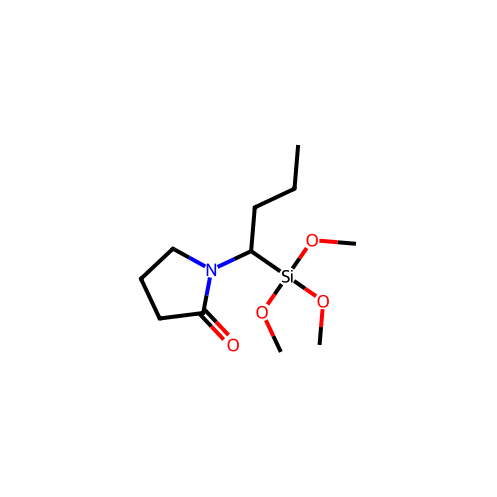 CCCC(N1CCCC1=O)[Si](OC)(OC)OC